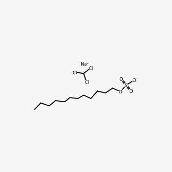 CCCCCCCCCCCCOS(=O)(=O)[O-].ClC(Cl)Cl.[Na+]